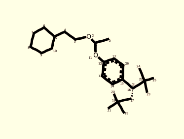 CC(OCCC1CCCCC1)Oc1ccc([C@@H](CC(C)(C)C)C(C)(C)C)cc1